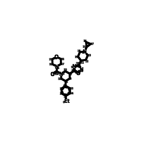 CCc1ccc(C2CC(c3nc(C4CCN(C5CC5)CC4)no3)CN(C(=O)N3CCOCC3)C2)cc1